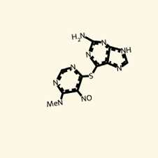 CNc1ncnc(Sc2nc(N)nc3[nH]cnc23)c1N=O